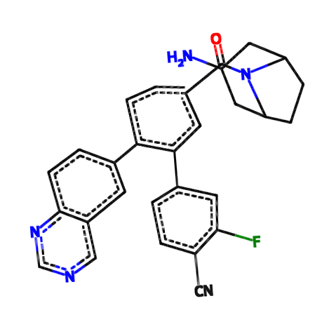 N#Cc1ccc(-c2cc(C(=O)N3C4CCC3CC(N)C4)ccc2-c2ccc3ncncc3c2)cc1F